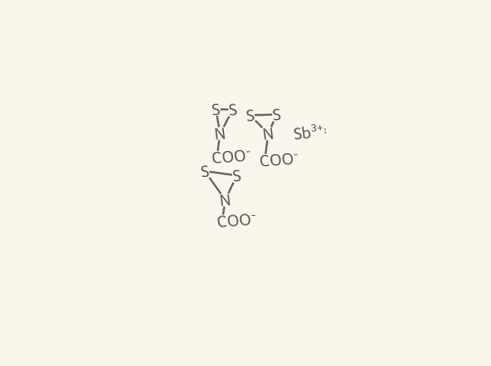 O=C([O-])n1ss1.O=C([O-])n1ss1.O=C([O-])n1ss1.[Sb+3]